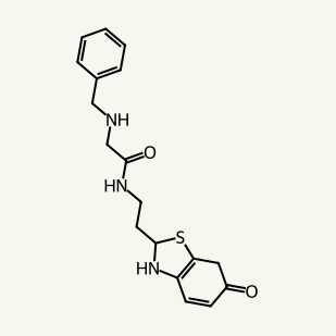 O=C1C=CC2=C(C1)SC(CCNC(=O)CNCc1ccccc1)N2